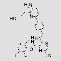 C[C@H](NC(=O)c1nc(C#N)cnc1NCc1ccc(-c2cnc(N)c(CCCO)n2)cc1)c1ccc(F)c(F)c1